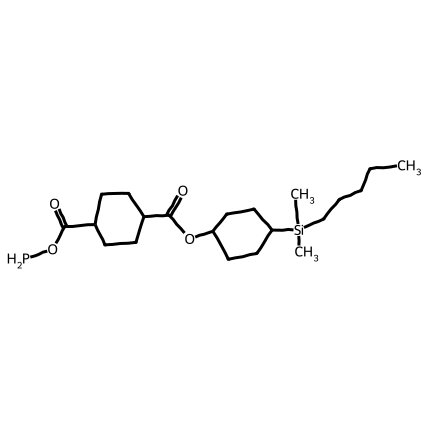 CCCCC[Si](C)(C)C1CCC(OC(=O)C2CCC(C(=O)OP)CC2)CC1